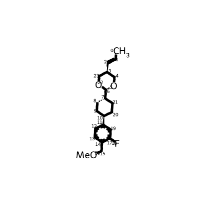 C/C=C/[C@H]1CO[C@H]([C@H]2CC[C@H](c3ccc(COC)c(F)c3)CC2)OC1